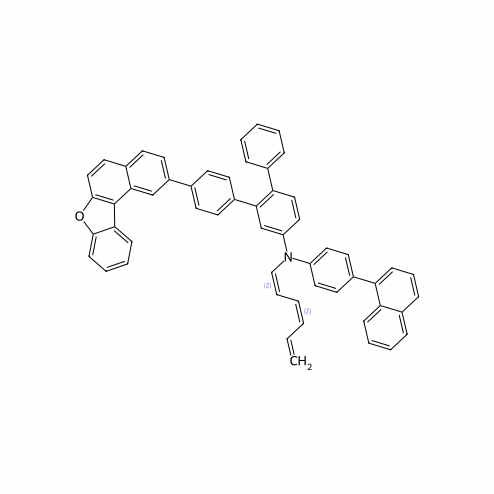 C=C/C=C\C=C/N(c1ccc(-c2cccc3ccccc23)cc1)c1ccc(-c2ccccc2)c(-c2ccc(-c3ccc4ccc5oc6ccccc6c5c4c3)cc2)c1